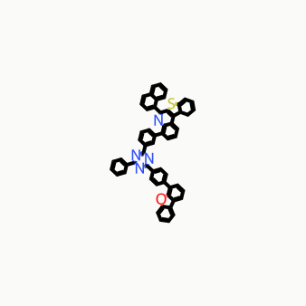 C1=CCC2C(=C1)Sc1c(-c3cccc4ccccc34)nc3c(-c4cccc(-c5nc(-c6ccccc6)nc(-c6ccc(-c7cccc8c7oc7ccccc78)cc6)n5)c4)cccc3c12